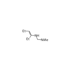 CC/C=C(\CC)NCNC